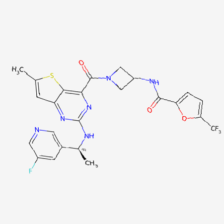 Cc1cc2nc(N[C@@H](C)c3cncc(F)c3)nc(C(=O)N3CC(NC(=O)c4ccc(C(F)(F)F)o4)C3)c2s1